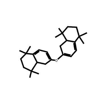 CC1(C)CCC(C)(C)C2CC(OC3=CC=C4C(C3)C(C)(C)CCC4(C)C)=CC=C21